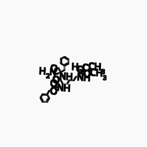 CC(C)(C)OC(=O)NCCCC[C@H](NC(=O)OCc1ccccc1)C(=O)N[C@@](C=O)(CN)Cc1ccccc1